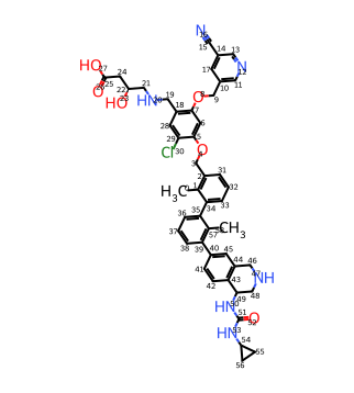 Cc1c(COc2cc(OCc3cncc(C#N)c3)c(CNC[C@@H](O)CC(=O)O)cc2Cl)cccc1-c1cccc(-c2ccc3c(c2)CNCC3NC(=O)NC2CC2)c1C